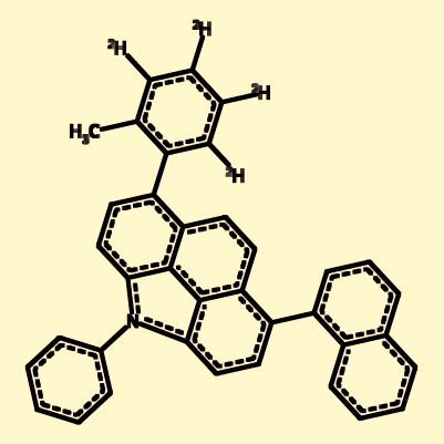 [2H]c1c([2H])c([2H])c(-c2ccc3c4c2ccc2c(-c5cccc6ccccc56)ccc(c24)n3-c2ccccc2)c(C)c1[2H]